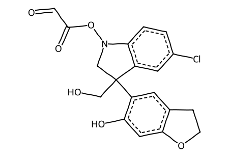 O=CC(=O)ON1CC(CO)(c2cc3c(cc2O)OCC3)c2cc(Cl)ccc21